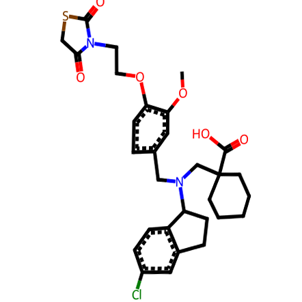 COc1cc(CN(CC2(C(=O)O)CCCCC2)C2CCc3cc(Cl)ccc32)ccc1OCCN1C(=O)CSC1=O